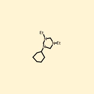 CCN1CN(CC)CN(C2CCCCC2)C1